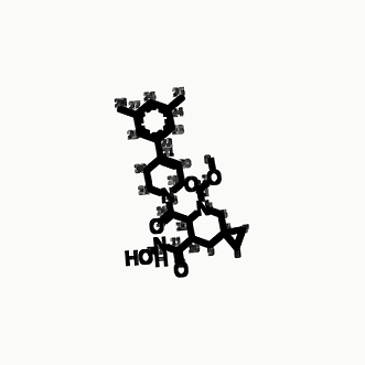 COC(=O)N1CC2(CC2)CC(C(=O)NO)C1C(=O)N1CC=C(c2cc(C)cc(C)c2)CC1